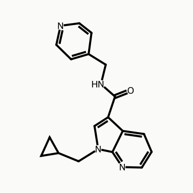 O=C(NCc1ccncc1)c1cn(CC2CC2)c2ncccc12